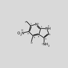 Cc1nc2[nH]cc(N)c2c(C)c1[N+](=O)[O-]